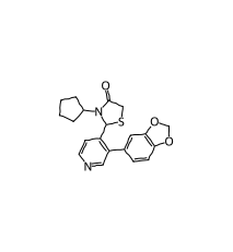 O=C1CSC(c2ccncc2-c2ccc3c(c2)OCO3)N1C1CCCC1